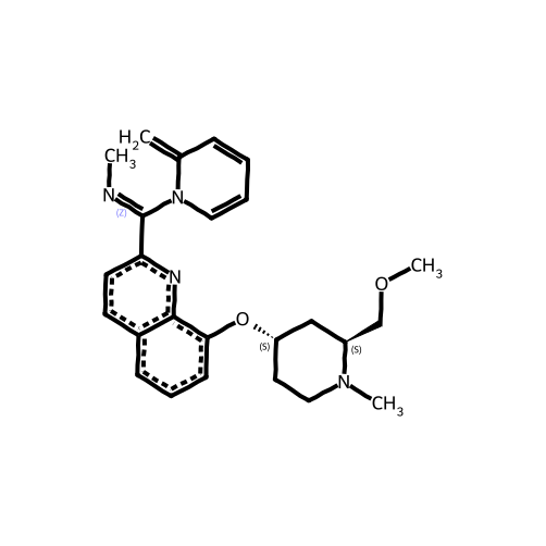 C=C1C=CC=CN1/C(=N\C)c1ccc2cccc(O[C@H]3CCN(C)[C@H](COC)C3)c2n1